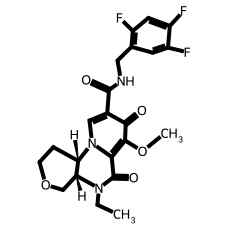 CCN1C(=O)c2c(OC)c(=O)c(C(=O)NCc3cc(F)c(F)cc3F)cn2[C@H]2CCOC[C@H]21